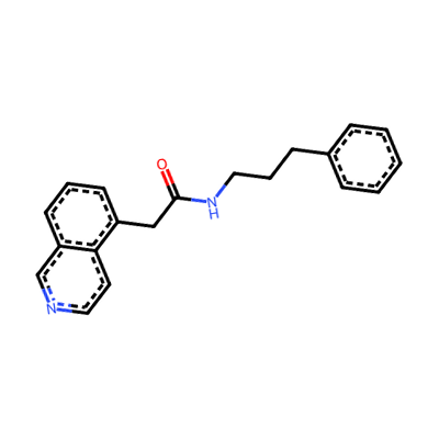 O=C(Cc1cccc2cnccc12)NCCCc1ccccc1